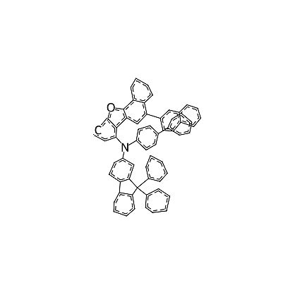 c1ccc(-c2ccc(N(c3ccc4c(c3)C(c3ccccc3)(c3ccccc3)c3ccccc3-4)c3cccc4oc5c6ccccc6c(-c6ccc7ccccc7c6)cc5c34)cc2)cc1